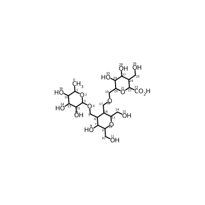 CC1OC(OCC2C(O)C(CO)OC(CO)C2COCC2OC(C(=O)O)C(CO)C(O)C2O)C(O)C(O)C1O